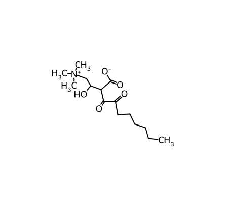 CCCCCCC(=O)C(=O)C(C(=O)[O-])C(O)C[N+](C)(C)C